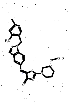 Cc1ccc(Cn2ncc3cc(/C=C4\SC(N5CCC[C@@H](OC=O)C5)=NC4=O)ccc32)c(C(F)(F)F)c1